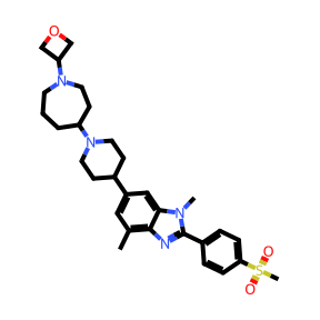 Cc1cc(C2CCN(C3CCCN(C4COC4)CC3)CC2)cc2c1nc(-c1ccc(S(C)(=O)=O)cc1)n2C